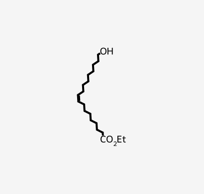 CCOC(=O)CCCCCCC/C=C\CCCCCCCCO